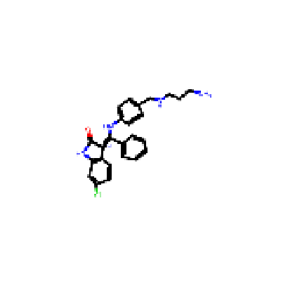 NCCCNCc1ccc(N/C(=C2\C(=O)Nc3cc(Cl)ccc32)c2ccccc2)cc1